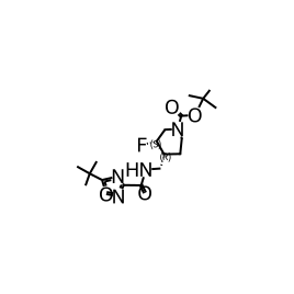 CC(C)(C)OC(=O)N1CC[C@H](CNC(=O)c2noc(C(C)(C)C)n2)[C@H](F)C1